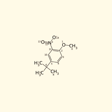 COc1ccc(C(C)(C)C)cc1[N+](=O)[O-]